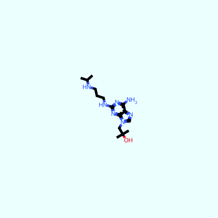 CC(C)NCCCNc1nc(N)c2ncn(CC(C)(C)O)c2n1